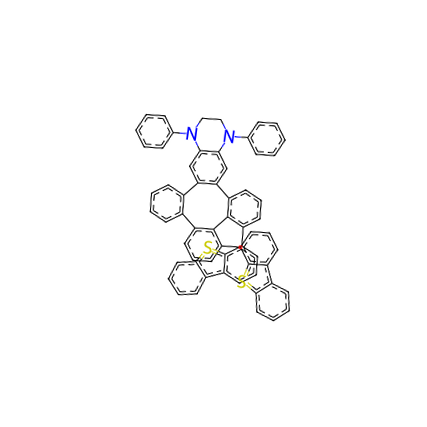 c1ccc(N2CCN(c3ccccc3)c3cc4c(cc32)-c2ccccc2-c2cccc(-c3cccc5c3sc3ccccc35)c2-c2c-4cccc2-c2cccc3c2sc2ccccc23)cc1